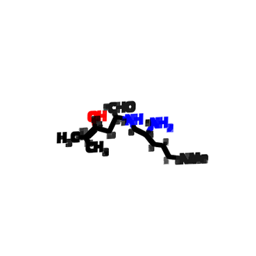 CNCCC[C@H](N)CN[C@H](C=O)CC(O)=C(C)C